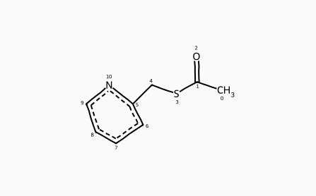 CC(=O)SCc1ccccn1